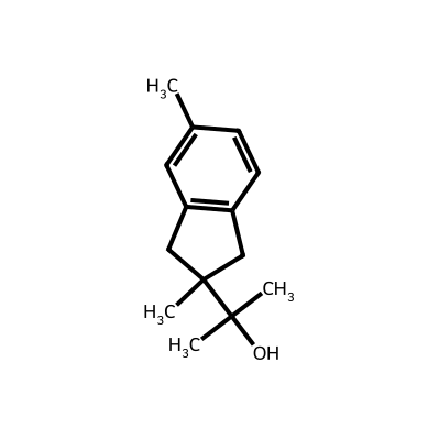 Cc1ccc2c(c1)CC(C)(C(C)(C)O)C2